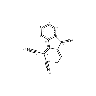 C/C=C1/C(=O)c2ccccc2C1=C(C#N)C#N